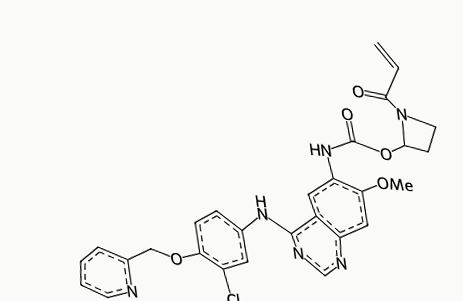 C=CC(=O)N1CCC1OC(=O)Nc1cc2c(Nc3ccc(OCc4ccccn4)c(Cl)c3)ncnc2cc1OC